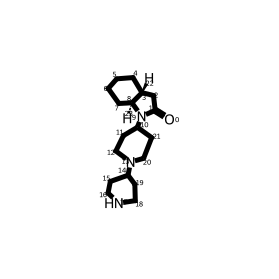 O=C1C[C@H]2CCCC[C@@H]2N1C1CCN(C2CCNCC2)CC1